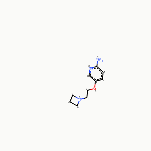 Nc1ccc(OCCN2CCC2)cn1